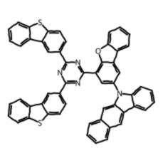 c1ccc2cc3c(cc2c1)c1ccccc1n3-c1cc(-c2nc(-c3ccc4sc5ccccc5c4c3)nc(-c3ccc4sc5ccccc5c4c3)n2)c2oc3ccccc3c2c1